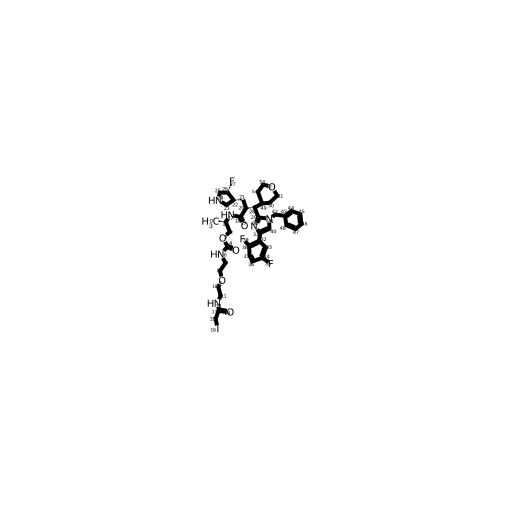 C[C@@H](COC(=O)NCCOCCNC(=O)CI)NC(=O)C(C[C@@H]1CNC[C@@H]1F)[C@@H](c1nc(-c2cc(F)ccc2F)cn1Cc1ccccc1)C1CCOCC1